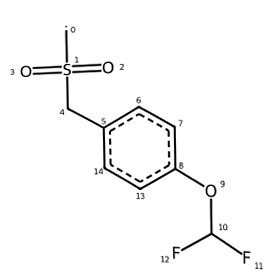 [CH2]S(=O)(=O)Cc1ccc(OC(F)F)cc1